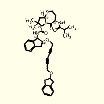 CC(C)C(=O)N[C@H]1CCS[C@H]2CC(C)(C)[C@@H](C(=O)N[C@H]3c4ccccc4C[C@H]3OCC#CC#CCOC3Cc4ccccc4C3)N2C1=O